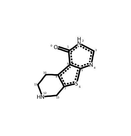 O=c1[nH]cnc2sc3c(c12)CCNC3